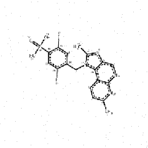 Cc1ccc2c(ncc3nc(C)n(Cc4cc(F)c(P(=O)(O)O)cc4F)c32)n1